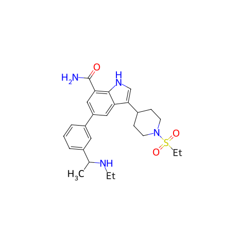 CCNC(C)c1cccc(-c2cc(C(N)=O)c3[nH]cc(C4CCN(S(=O)(=O)CC)CC4)c3c2)c1